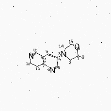 CC1CN(c2cnc3c(c2)C=NCC3)CCO1